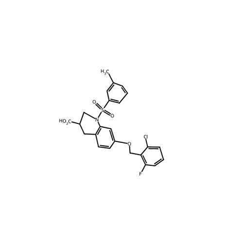 Cc1cccc(S(=O)(=O)N2CC(C(=O)O)Cc3ccc(OCc4c(F)cccc4Cl)cc32)c1